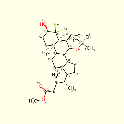 CC[C@H]1C(O[Si](C)(C)C)C2C3CCC([C@H](C)CCC(=O)OC)[C@@]3(C)CCC2[C@@]2(C)CC[C@@H](O)C(F)(F)[C@@H]12